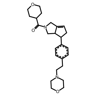 O=C(C1CCOCC1)N1CC2=CCC(c3ccc(CCN4CCOCC4)cc3)C2C1